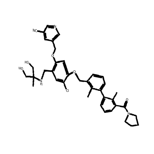 Cc1c(COc2cc(OCc3cncc(C#N)c3)c(CNC(C)(CO)CO)cc2Cl)cccc1-c1cccc(C(=O)N2CCCC2)c1C